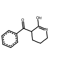 O=C(c1ccccc1)C1CCCN=C1O